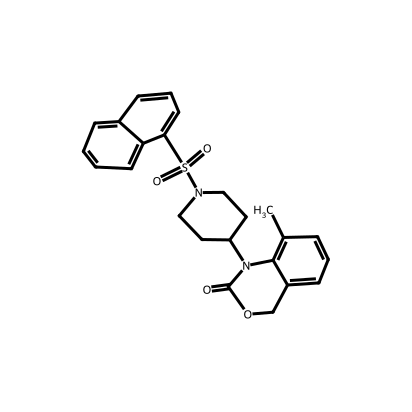 Cc1cccc2c1N(C1CCN(S(=O)(=O)c3cccc4ccccc34)CC1)C(=O)OC2